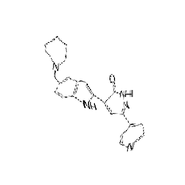 O=c1[nH]nc(-c2ccncc2)cc1-c1cc2cc(CN3CCCCC3)ccc2[nH]1